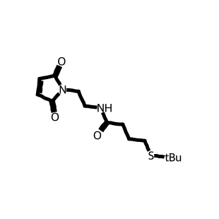 CC(C)(C)SCCCC(=O)NCCN1C(=O)C=CC1=O